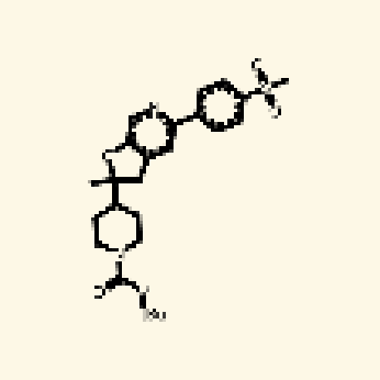 CC(C)(C)OC(=O)N1CCC(C2(C)Cc3cc(-c4ccc(S(C)(=O)=O)cc4)ncc3O2)CC1